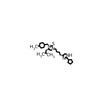 CC(C)C[C@@H]1CN(CCCC[C@H]2CNC(C3CCCC3)=N2)C(=S)N1CC1CCC(C)CC1